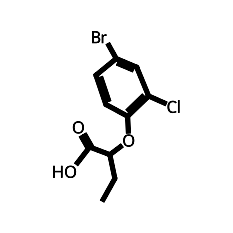 CCC(Oc1ccc(Br)cc1Cl)C(=O)O